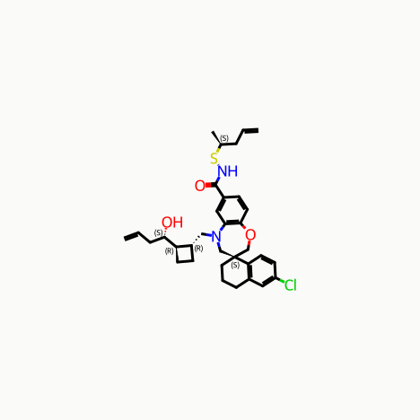 C=CC[C@H](C)SNC(=O)c1ccc2c(c1)N(C[C@@H]1CC[C@H]1[C@@H](O)CC=C)C[C@@]1(CCCc3cc(Cl)ccc31)CO2